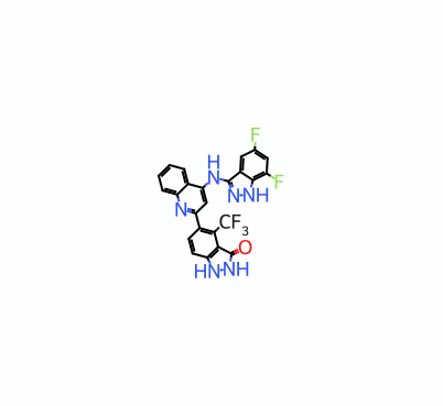 O=c1[nH][nH]c2ccc(-c3cc(Nc4n[nH]c5c(F)cc(F)cc45)c4ccccc4n3)c(C(F)(F)F)c12